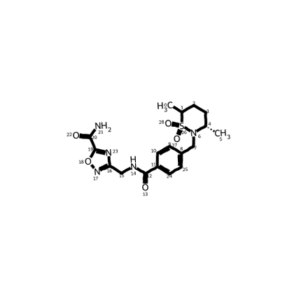 CC1CC[C@H](C)N(Cc2ccc(C(=O)NCc3noc(C(N)=O)n3)cc2)S1(=O)=O